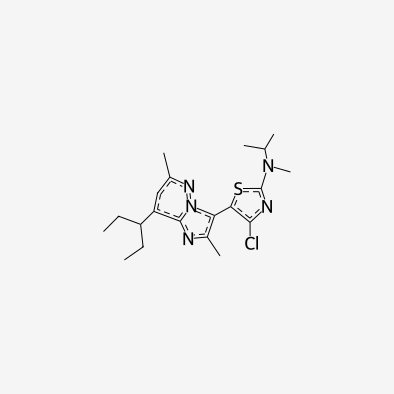 CCC(CC)c1cc(C)nn2c(-c3sc(N(C)C(C)C)nc3Cl)c(C)nc12